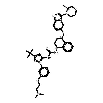 C[C@H]1COCCN1c1nnc2ccc(O[C@@H]3CC[C@H](NC(=O)Nc4cc(C(C)(C)C)nn4-c4cccc(OCCN(C)C)c4)c4ccccc43)cn12